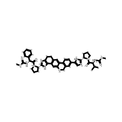 COC(=O)N[C@H](C(=O)N1CCC[C@H]1c1ncc(-c2ccc3c(c2)COc2cc4c(cc2-3)CCc2nc([C@@H]3CCCN3C(=O)[C@H](NC(=O)OC)c3ccccc3)[nH]c2-4)[nH]1)C(C)C